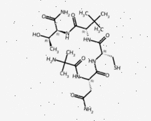 C[C@@H](O)[C@H](NC(=O)[C@@H](NC(=O)[C@H](CS)NC(=O)[C@H](CC(N)=O)NC(=O)C(C)(C)N)C(C)(C)C)C(N)=O